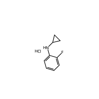 Cl.Fc1ccccc1NC1CC1